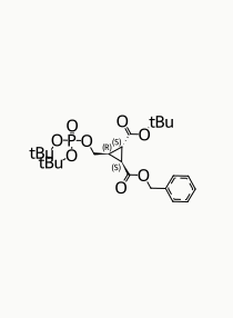 CC(C)(C)OC(=O)[C@H]1[C@H](COP(=O)(OC(C)(C)C)OC(C)(C)C)[C@@H]1C(=O)OCc1ccccc1